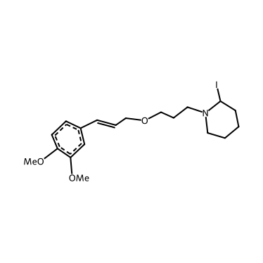 COc1ccc(C=CCOCCCN2CCCCC2I)cc1OC